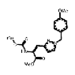 COC(=O)/C(=C\c1ccn(Cc2ccc(OC)cc2)n1)NC(=O)OC(C)(C)C